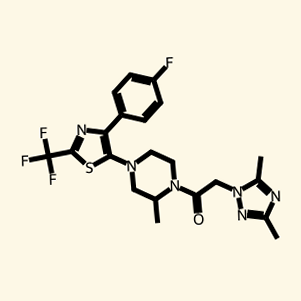 Cc1nc(C)n(CC(=O)N2CCN(c3sc(C(F)(F)F)nc3-c3ccc(F)cc3)CC2C)n1